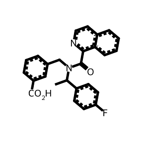 CC(c1ccc(F)cc1)N(Cc1cccc(C(=O)O)c1)C(=O)c1nccc2ccccc12